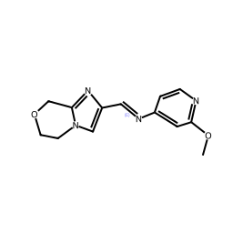 COc1cc(/N=C/c2cn3c(n2)COCC3)ccn1